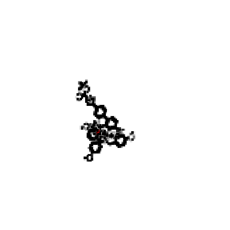 COc1ccc(CN(Cc2ccc(OC)cc2)S(=O)(=O)c2c(Br)ccc(-c3ccc(C4CN(C(=O)OC(C)(C)C)C4)cc3)c2-c2nnnn2Cc2ccc(OC)cc2)cc1